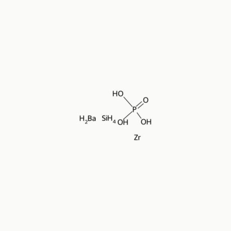 O=P(O)(O)O.[BaH2].[SiH4].[Zr]